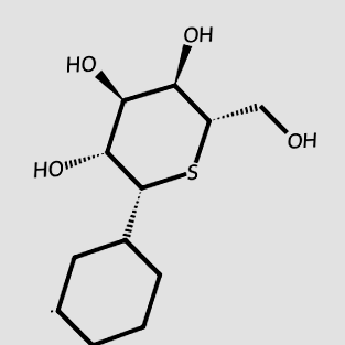 OC[C@@H]1S[C@H](C2C[CH]CCC2)[C@H](O)[C@@H](O)[C@H]1O